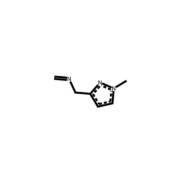 C=NCc1ccn(C)n1